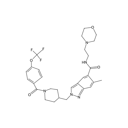 Cc1cc2nn(CC3CCN(C(=O)c4ccc(OC(F)(F)F)cc4)CC3)cc2cc1C(=O)NCCN1CCOCC1